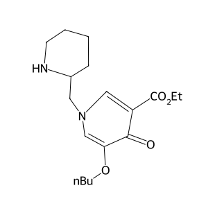 CCCCOc1cn(CC2CCCCN2)cc(C(=O)OCC)c1=O